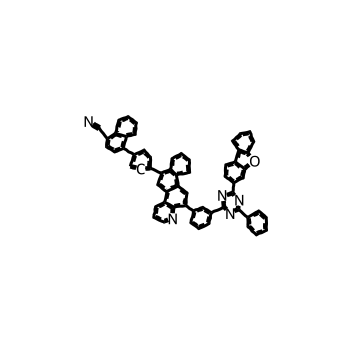 N#Cc1ccc(-c2ccc(-c3cc4c5cccnc5c(-c5cccc(-c6nc(-c7ccccc7)nc(-c7ccc8c(c7)oc7ccccc78)n6)c5)cc4c4ccccc34)cc2)c2ccccc12